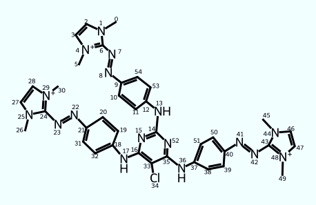 Cn1cc[n+](C)c1/N=N/c1ccc(Nc2nc(Nc3ccc(/N=N/c4n(C)cc[n+]4C)cc3)c(Cl)c(Nc3ccc(/N=N/c4n(C)cc[n+]4C)cc3)n2)cc1